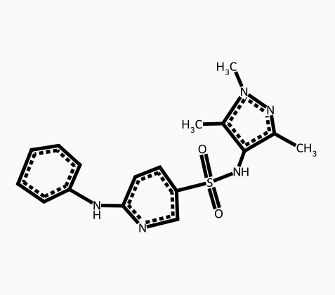 Cc1nn(C)c(C)c1NS(=O)(=O)c1ccc(Nc2ccccc2)nc1